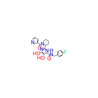 O=C(NCc1ccc(F)cc1)c1nc(C2CCCCN2C(=O)c2cccnc2)nc(O)c1O